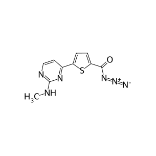 CNc1nccc(-c2ccc(C(=O)N=[N+]=[N-])s2)n1